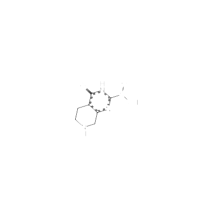 C[S+]([O-])c1nc2c(c(=O)[nH]1)CCNC2